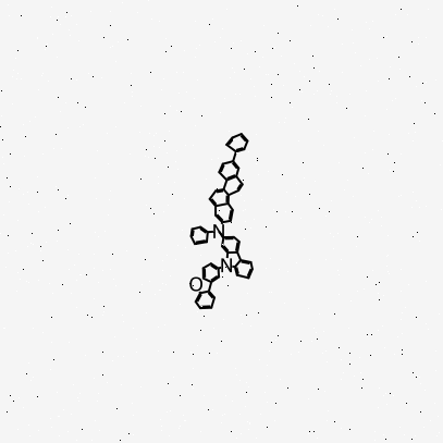 c1ccc(-c2ccc3c(ccc4c5ccc(N(c6ccccc6)c6ccc7c8ccccc8n(-c8ccc9oc%10ccccc%10c9c8)c7c6)cc5ccc34)c2)cc1